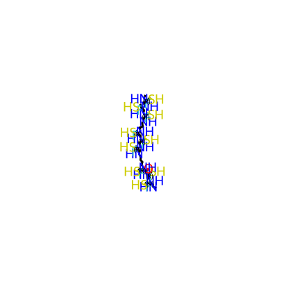 CNC[C@@](F)(CS)NC[C@@](F)(CS)NC(=O)[C@@](F)(CS)NCCCCNC[C@@](F)(CS)NC[C@@](F)(CS)NC[C@@](F)(CS)NCCCNC[C@@](F)(CS)NCC(F)(CS)NC[C@@](F)(CS)NC